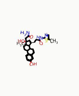 Cc1cnc(NC(=O)CC[C@@H]2C[C@@](O)(CC(N)=O)[C@@]3(C)CCC4c5ccc(O)cc5CCC4C23)s1